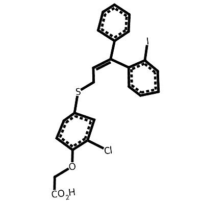 O=C(O)COc1ccc(SCC=C(c2ccccc2)c2ccccc2I)cc1Cl